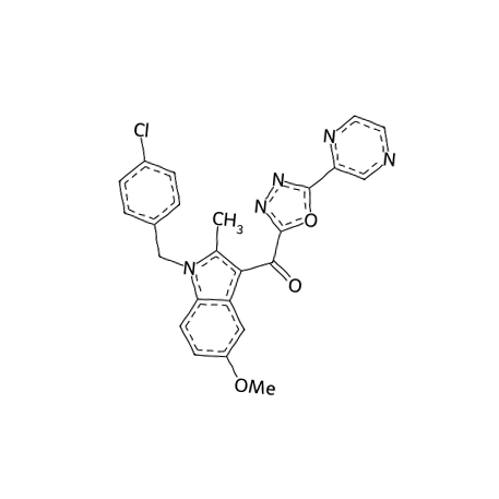 COc1ccc2c(c1)c(C(=O)c1nnc(-c3cnccn3)o1)c(C)n2Cc1ccc(Cl)cc1